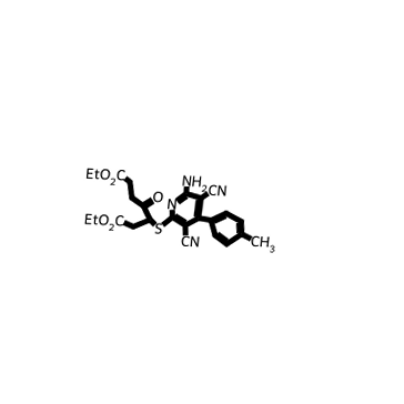 CCOC(=O)CCC(=O)C(CC(=O)OCC)Sc1nc(N)c(C#N)c(-c2ccc(C)cc2)c1C#N